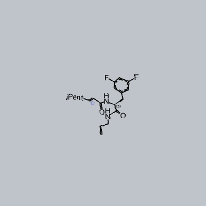 C=CCNC(=O)[C@H](Cc1cc(F)cc(F)c1)NC(=O)/C=C/C(C)CCC